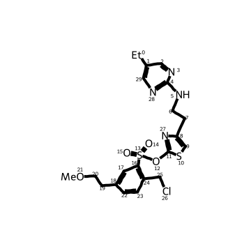 CCc1cnc(NCCc2csc(OS(=O)(=O)c3cc(CCOC)ccc3CCl)n2)nc1